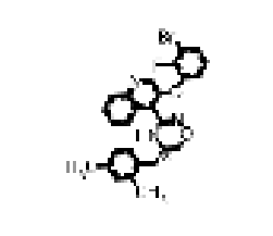 Cc1ccc(C[C@@H]2CON=C(c3c(Oc4cccc(Br)c4F)cnc4ccccc34)N2)c(C)c1